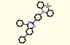 C[Si]1(C)c2ccccc2N(c2ccc(-c3nc(-c4ccccc4)c4cc(-c5ccccc5)ccc4n3)cc2)c2ccccc21